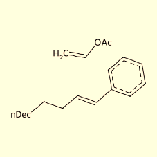 C=COC(C)=O.CCCCCCCCCCCCC=Cc1ccccc1